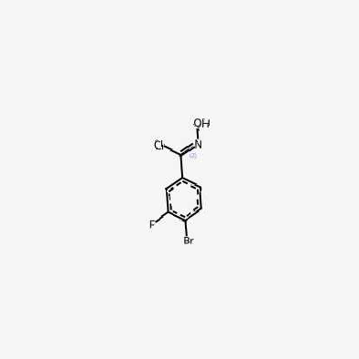 O/N=C(\Cl)c1ccc(Br)c(F)c1